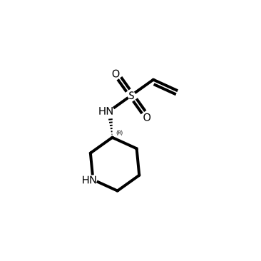 C=CS(=O)(=O)N[C@@H]1CCCNC1